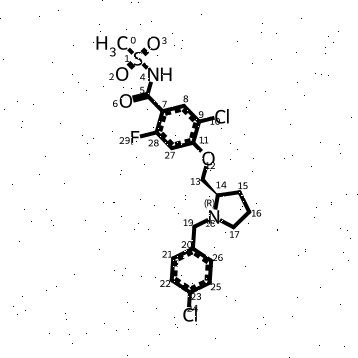 CS(=O)(=O)NC(=O)c1cc(Cl)c(OC[C@H]2CCCN2Cc2ccc(Cl)cc2)cc1F